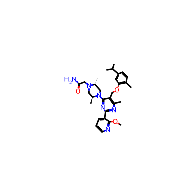 COc1ncccc1-c1nc(C)c(COc2cc(C(C)C)ccc2C)c(N2C[C@@H](C)N(CC(N)=O)C[C@@H]2C)n1